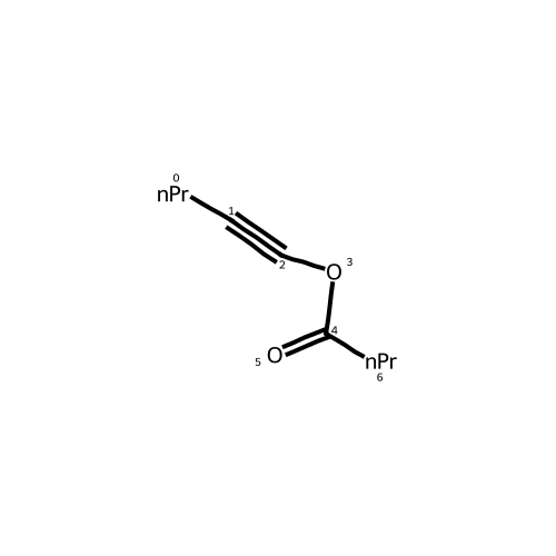 CCCC#COC(=O)CCC